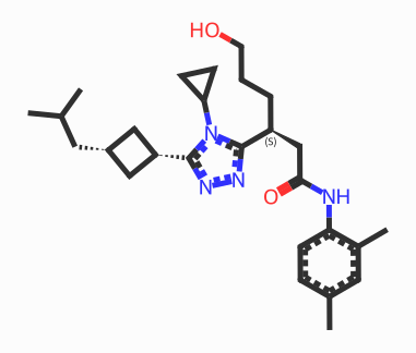 Cc1ccc(NC(=O)C[C@H](CCCO)c2nnc([C@H]3C[C@@H](CC(C)C)C3)n2C2CC2)c(C)c1